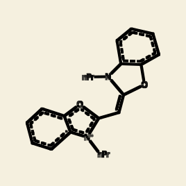 CCCN1/C(=C\c2oc3ccccc3[n+]2CCC)Oc2ccccc21